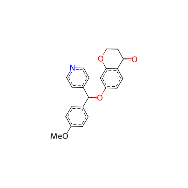 COc1ccc([C@H](Oc2ccc3c(c2)OCCC3=O)c2ccncc2)cc1